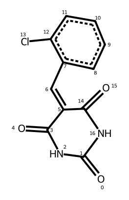 O=C1NC(=O)C(=Cc2ccccc2Cl)C(=O)N1